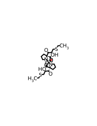 CCSCCC(=O)[C@@]1(C(=O)O)CCCN1S(=O)(=O)N1CCC[C@]1(C(=O)O)C(=O)CCSCC